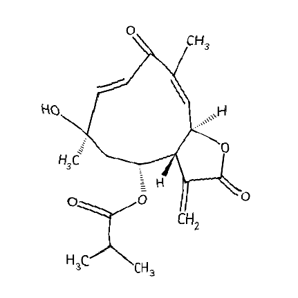 C=C1C(=O)O[C@@H]2/C=C(/C)C(=O)/C=C/[C@](C)(O)C[C@@H](OC(=O)C(C)C)[C@@H]12